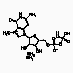 C[n+]1cn([C@@H]2O[C@H](COP(=O)([O-])OP(=O)(O)O)[C@@H](O)[C@H]2O)c2nc(N)[nH]c(=O)c21.N.N